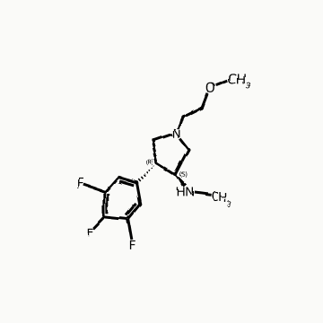 CN[C@@H]1CN(CCOC)C[C@H]1c1cc(F)c(F)c(F)c1